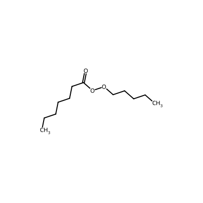 CCCCCCC(=O)OOCCCCC